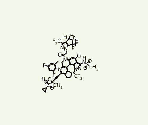 CC(C)(C#Cc1nc([C@H](Cc2cc(F)cc(F)c2)NC(=O)Cn2nc(C(F)(F)F)c3c2C(F)(F)[C@@H]2CC[C@H]32)c(-c2ccc(Cl)c3c(NS(C)(=O)=O)nn(CC(F)(F)F)c23)c2c1CCC2)S(=O)(=O)C1CC1